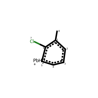 Cc1ccccc1Cl.[PbH2]